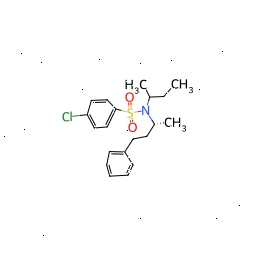 CCC(C)N([C@H](C)CCc1ccccc1)S(=O)(=O)c1ccc(Cl)cc1